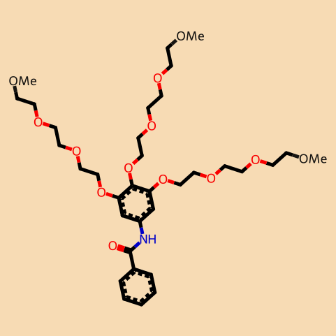 COCCOCCOCCOc1cc(NC(=O)c2ccccc2)cc(OCCOCCOCCOC)c1OCCOCCOCCOC